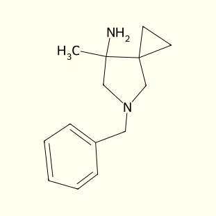 CC1(N)CN(Cc2ccccc2)CC12CC2